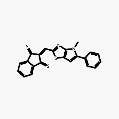 Cn1c(-c2ccccc2)cc2sc(C=C3C(=S)c4ccccc4C3=S)nc21